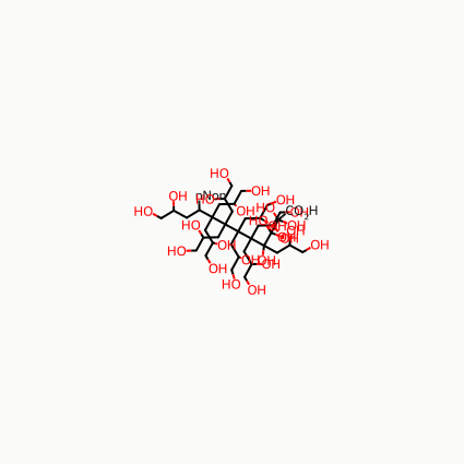 CCCCCCCCCC(CC(O)CO)C(CC(O)CO)(CC(O)CO)C(CC(O)CO)(CC(O)CO)C(CC(O)CO)(CC(O)CO)C(CC(O)CO)(CC(O)CO)C(O)(CC(O)CO)C(O)(O)C(O)(O)C(=O)O